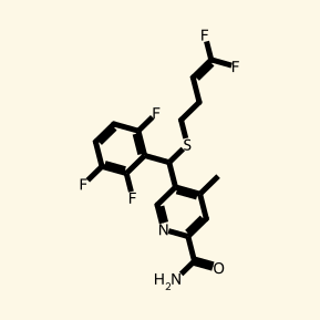 Cc1cc(C(N)=O)ncc1C(SCCC=C(F)F)c1c(F)ccc(F)c1F